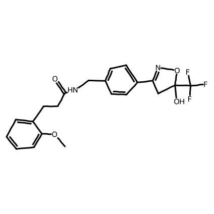 COc1ccccc1CCC(=O)NCc1ccc(C2=NOC(O)(C(F)(F)F)C2)cc1